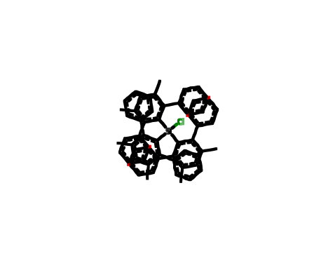 Cc1cc(C)c(-c2ccccc2)c([Si](Cl)(c2c(-c3ccccc3)c(C)cc(C)c2-c2ccccc2)c2c(-c3ccccc3)c(C)cc(C)c2-c2ccccc2)c1-c1ccccc1